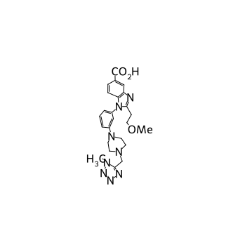 COCCc1nc2cc(C(=O)O)ccc2n1-c1cccc(N2CCN(Cc3nnnn3C)CC2)c1